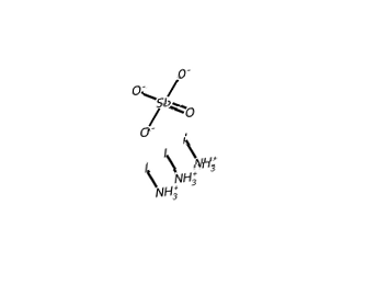 [NH3+]I.[NH3+]I.[NH3+]I.[O]=[Sb]([O-])([O-])[O-]